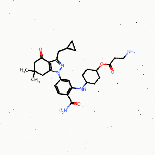 CC1(C)CC(=O)c2c(CC3CC3)nn(-c3ccc(C(N)=O)c(NC4CCC(OC(=O)CCN)CC4)c3)c2C1